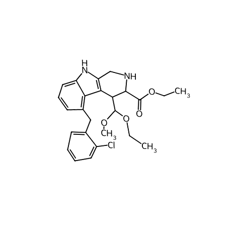 CCOC(=O)C1NCc2[nH]c3cccc(Cc4ccccc4Cl)c3c2C1C(OC)OCC